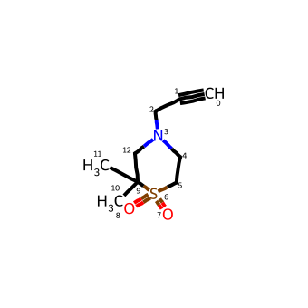 C#CCN1CCS(=O)(=O)C(C)(C)C1